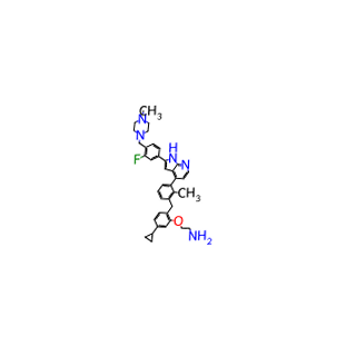 Cc1c(Cc2ccc(C3CC3)cc2OCCN)cccc1-c1ccnc2[nH]c(-c3ccc(CN4CCN(C)CC4)c(F)c3)cc12